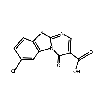 O=C(O)c1cnc2sc3ccc(Cl)cc3n2c1=O